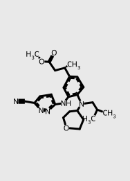 COC(=O)C[C@@H](C)c1ccc(N(CC(C)C)C2CCOCC2)c(Nc2ccc(C#N)nn2)c1